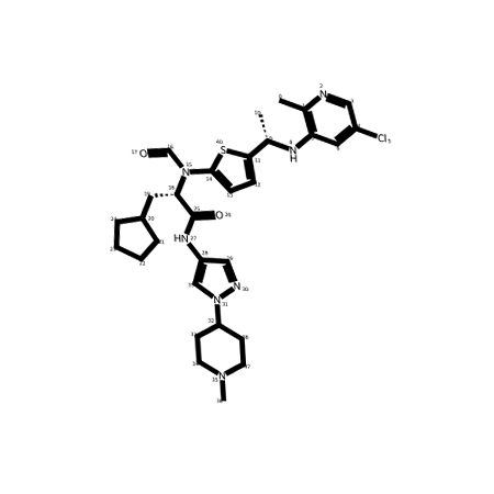 Cc1ncc(Cl)cc1N[C@@H](C)c1ccc(N(C=O)[C@@H](CC2CCCC2)C(=O)Nc2cnn(C3CCN(C)CC3)c2)s1